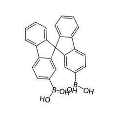 OB(O)c1ccc2c(c1)C1(c3ccccc3-2)c2ccccc2-c2ccc(B(O)O)cc21